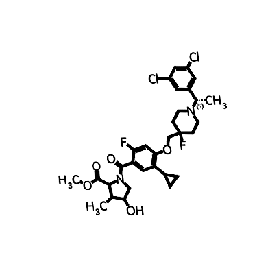 COC(=O)C1C(C)C(O)CN1C(=O)c1cc(C2CC2)c(OCC2(F)CCN([C@@H](C)c3cc(Cl)cc(Cl)c3)CC2)cc1F